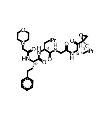 CC(C)C[C@H](NC(=O)[C@H](CCc1ccccc1)NC(=O)CN1CCOCC1)C(=O)NCC(=O)N[C@@H](CC(C)C)C(=O)[C@]1(C)CO1